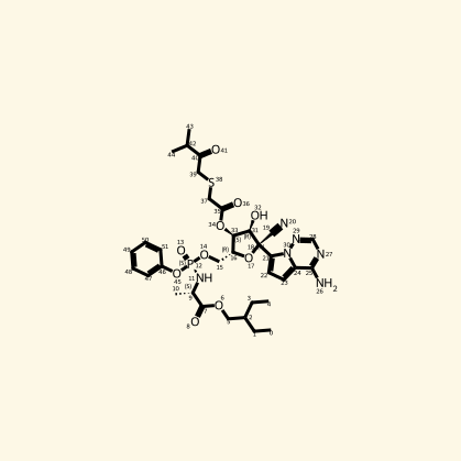 CCC(CC)COC(=O)[C@H](C)N[P@](=O)(OC[C@H]1O[C@@](C#N)(c2ccc3c(N)ncnn23)[C@H](O)[C@@H]1OC(=O)CSCC(=O)C(C)C)Oc1ccccc1